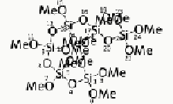 CO[Si](OC)(OC)O[Si](OC)(OC)O[Si](OC)(OC)O[Si](OC)(OC)O[Si](OC)(OC)O[Si](OC)(OC)OC